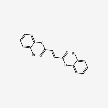 O=C(C=CC(=O)Oc1ccccc1Br)Oc1ccccc1Br